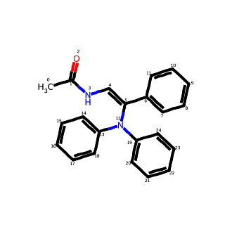 CC(=O)NC=C(c1ccccc1)N(c1ccccc1)c1ccccc1